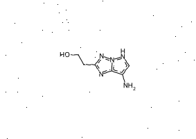 Nc1c[nH]n2nc(CCO)nc12